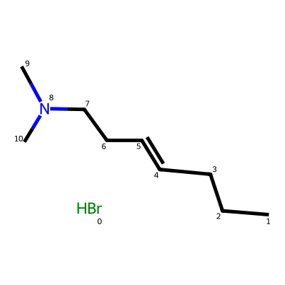 Br.CCCC=CCCN(C)C